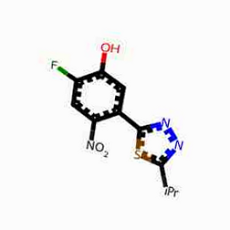 CC(C)c1nnc(-c2cc(O)c(F)cc2[N+](=O)[O-])s1